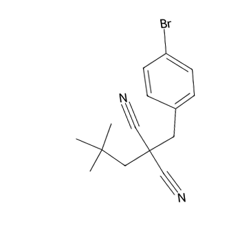 CC(C)(C)CC(C#N)(C#N)Cc1ccc(Br)cc1